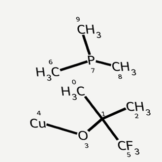 CC(C)([O][Cu])C(F)(F)F.CP(C)C